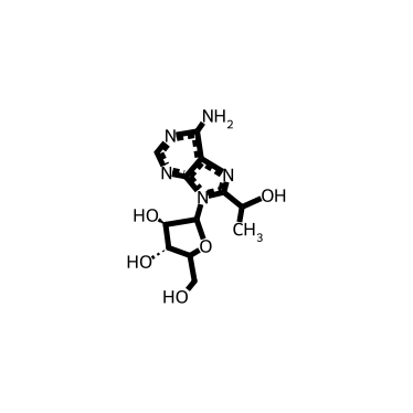 CC(O)c1nc2c(N)ncnc2n1C1OC(CO)[C@H](O)[C@@H]1O